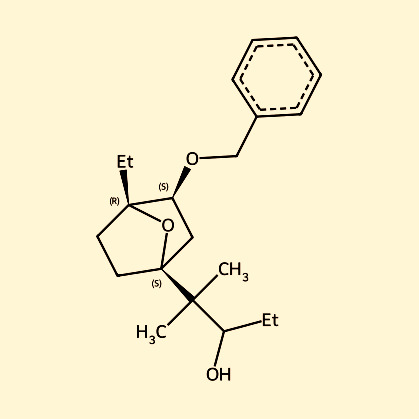 CCC(O)C(C)(C)[C@@]12CC[C@@](CC)(O1)[C@@H](OCc1ccccc1)C2